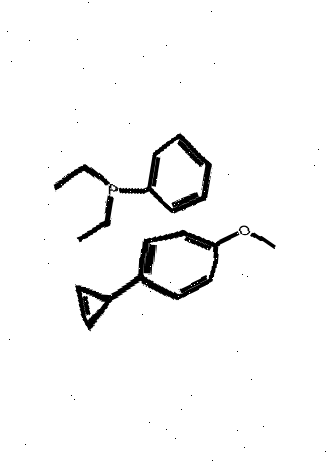 CCP(CC)c1ccccc1.COc1ccc(C2C=C2)cc1